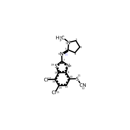 CN1CCC/C1=N\c1nc2c(SC#N)cc(Cl)c(Cl)c2s1